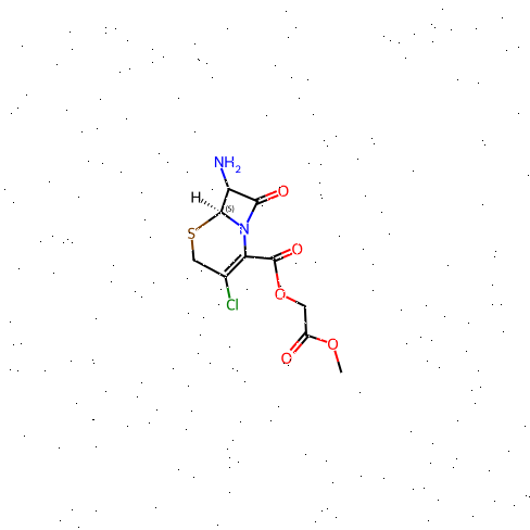 COC(=O)COC(=O)C1=C(Cl)CS[C@H]2C(N)C(=O)N12